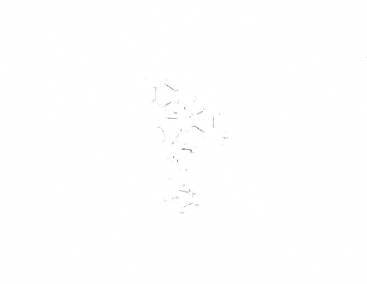 COc1ccc(C(Cl)(c2ccc(OC)cc2)c2cccc(C(=O)NCCc3ncc[nH]3)c2)cc1